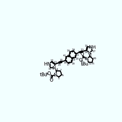 CC(C)(C)OC(=O)N1CCCC1N1CNC=C1C#Cc1ccc2cc(C#CC3=CNCN3C3CCCN3C(=O)OC(C)(C)C)ccc2c1